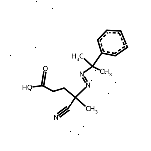 CC(C#N)(CCC(=O)O)N=NC(C)(C)c1ccccc1